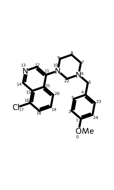 COc1ccc(CN2CCCN(c3cncc4c(Cl)cccc34)C2)cc1